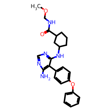 COCNC(=O)C1CCCC(Nc2ncnc(N)c2-c2ccc(Oc3ccccc3)cc2)C1